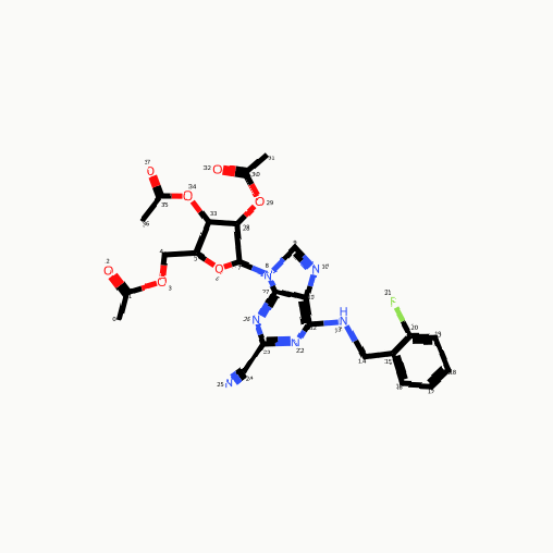 CC(=O)OCC1OC(n2cnc3c(NCc4ccccc4F)nc(C#N)nc32)C(OC(C)=O)C1OC(C)=O